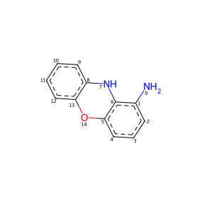 Nc1cccc2c1Nc1ccccc1O2